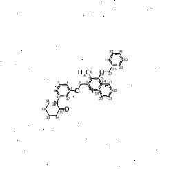 Cc1c(COc2cccc(N3CCCCC3=O)c2)nc2ccccc2c1OCc1ccccc1